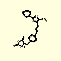 Cc1oc(-c2ccccc2)nc1CC=Cc1ccc(CC2NC(=O)OC2=O)cc1